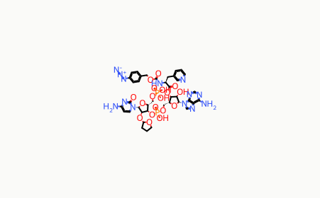 [N-]=[N+]=Nc1ccc(COC(=O)N[C@@H](Cc2cccnc2)C(=O)O[C@H]2[C@@H](O)[C@H](n3cnc4c(N)ncnc43)O[C@@H]2COP(=O)(O)O[C@H]2[C@@H](OC3CCCO3)[C@H](n3ccc(N)nc3=O)O[C@@H]2COP(=O)(O)O)cc1